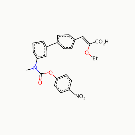 CCOC(=Cc1ccc(-c2cccc(N(C)C(=O)Oc3ccc([N+](=O)[O-])cc3)c2)cc1)C(=O)O